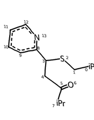 CC(C)CSC(CC(=O)C(C)C)c1ccccn1